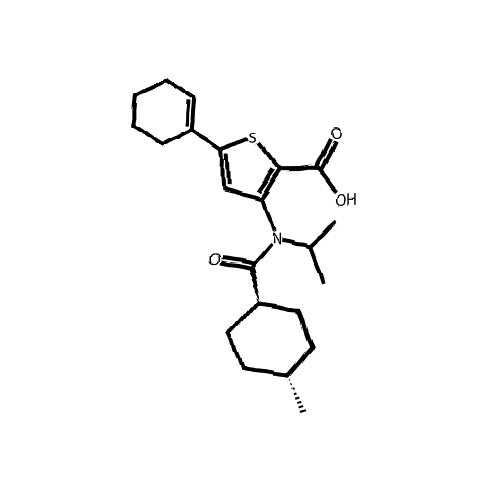 CC(C)N(c1cc(C2=CCCCC2)sc1C(=O)O)C(=O)[C@H]1CC[C@H](C)CC1